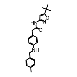 Cc1ccc(CNc2ccc(CC(=O)Nc3cc(C(C)(C)C)on3)cc2)cc1